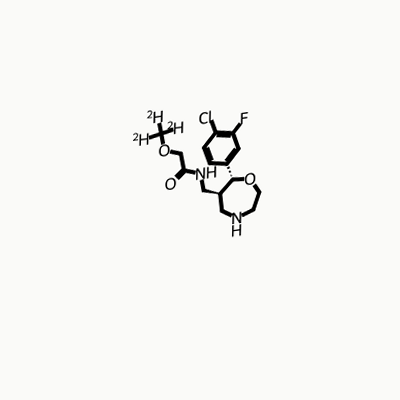 [2H]C([2H])([2H])OCC(=O)NC[C@@H]1CNCCO[C@H]1c1ccc(Cl)c(F)c1